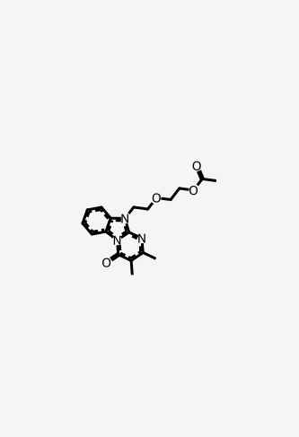 CC(=O)OCCOCCn1c2ccccc2n2c(=O)c(C)c(C)nc12